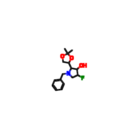 CC1(C)OCC(C2C(O)C(F)CN2Cc2ccccc2)O1